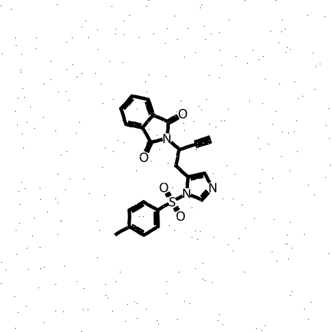 C#CC(Cc1cncn1S(=O)(=O)c1ccc(C)cc1)N1C(=O)c2ccccc2C1=O